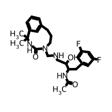 CC(=O)NC(Cc1cc(F)cc(F)c1)C(O)CNCN1CCCc2cccc(c2)C(C)(C)NC1=O